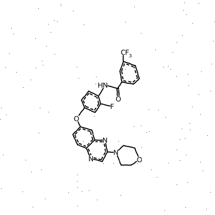 O=C(Nc1ccc(Oc2ccc3ncc(N4CCOCC4)nc3c2)cc1F)c1cccc(C(F)(F)F)c1